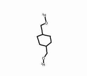 [2H]OCC1CCC(CO[2H])CC1